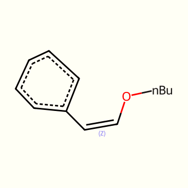 CCCCO/C=C\c1ccccc1